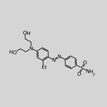 CCc1cc(N(CCO)CCO)ccc1N=Nc1ccc(S(N)(=O)=O)cc1